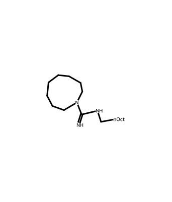 CCCCCCCCCNC(=N)N1CCCCCCCC1